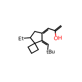 C=C(O)/C=C1/CC(CC)C2(CCC2)/C1=C\C(C)(C)C